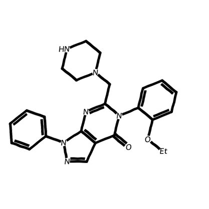 CCOc1ccccc1-n1c(CN2CCNCC2)nc2c(cnn2-c2ccccc2)c1=O